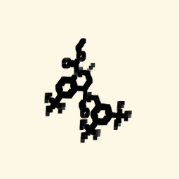 CCOC(=O)N1c2ccc(C(F)(F)F)cc2[C@@H](N(C=O)Cc2cc(C(F)(F)F)cc(C(F)(F)F)c2)C[C@H]1C